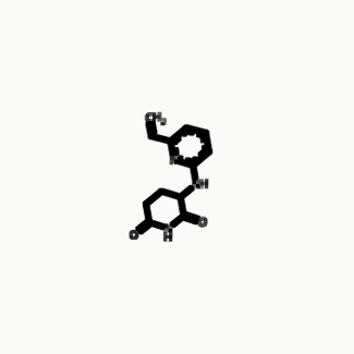 C=Cc1cccc(NC2CCC(=O)NC2=O)n1